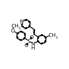 COc1ccc(S(=O)(=O)Nc2ccc(C)cc2C=Cc2ccncc2)cc1